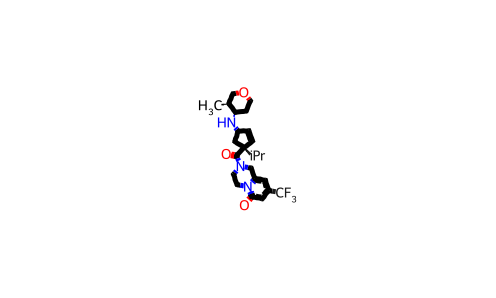 CC(C)[C@]1(C(=O)N2CCn3c(cc(C(F)(F)F)cc3=O)C2)C=CC(N[C@H]2CCOC[C@H]2C)C1